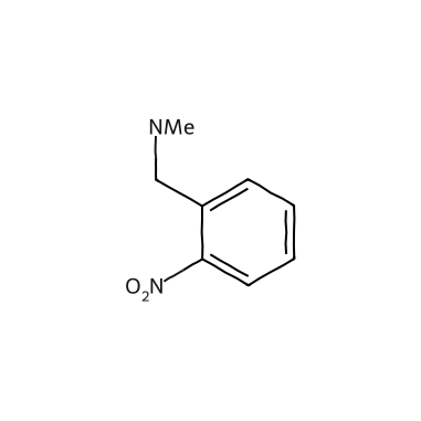 [CH2]NCc1ccccc1[N+](=O)[O-]